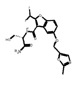 Cc1ncc(COc2ccc3oc(C(F)F)c(C(=O)N[C@@H](CO)C(N)=O)c3c2)o1